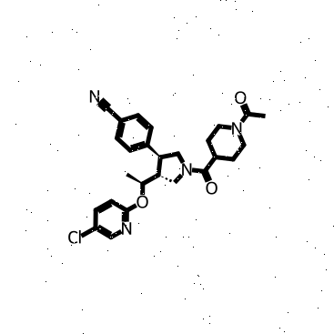 CC(=O)N1CCC(C(=O)N2C[C@H]([C@H](C)Oc3ccc(Cl)cn3)[C@@H](c3ccc(C#N)cc3)C2)CC1